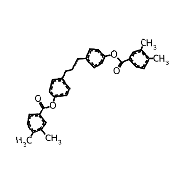 Cc1ccc(C(=O)Oc2ccc(CCCc3ccc(OC(=O)c4ccc(C)c(C)c4)cc3)cc2)cc1C